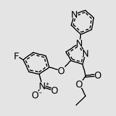 CCOC(=O)c1nn(-c2cccnc2)cc1Oc1ccc(F)cc1[N+](=O)[O-]